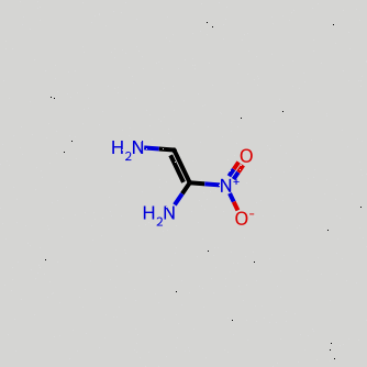 N/C=C(\N)[N+](=O)[O-]